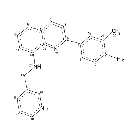 Fc1ccc(-c2ccc3cccc(NCc4cccnc4)c3n2)cc1C(F)(F)F